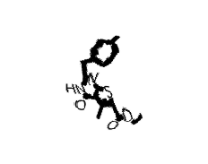 CCOC(=O)c1sc2nc(Cc3ccc(C)cc3)[nH]c(=O)c2c1C